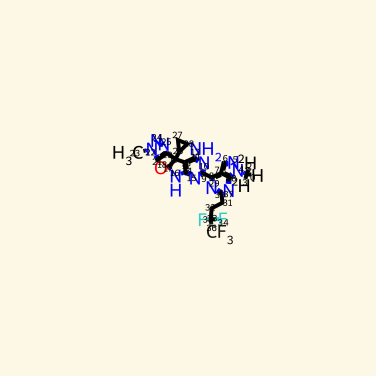 [2H]C([2H])([2H])n1ncc2c(-c3nc(N)c4c(n3)NC(=O)C4(c3cn(C)nn3)C3CC3)nc(CCC(F)(F)C(F)(F)F)nc21